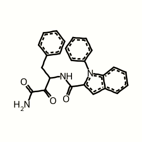 NC(=O)C(=O)C(Cc1ccccc1)NC(=O)c1cc2ccccc2n1-c1ccccc1